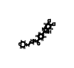 O=C(NCCCN1CCOCC1)c1ccc(-c2nc3cc(Cl)c(Cl)cc3[nH]2)cc1